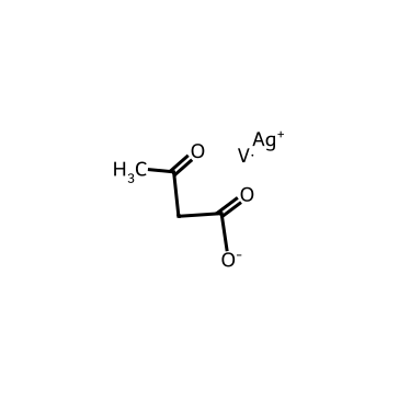 CC(=O)CC(=O)[O-].[Ag+].[V]